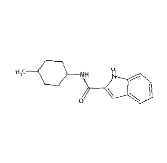 CC1CCC(NC(=O)c2cc3ccccc3[nH]2)CC1